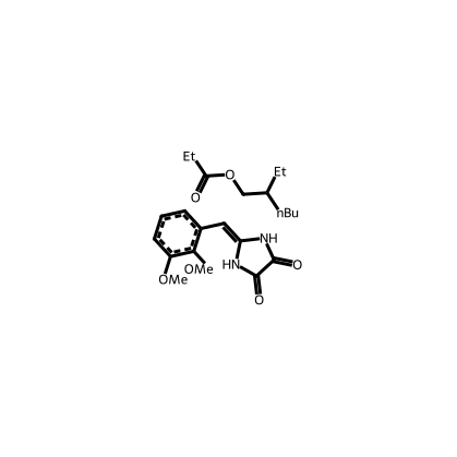 CCCCC(CC)COC(=O)CC.COc1cccc(C=C2NC(=O)C(=O)N2)c1OC